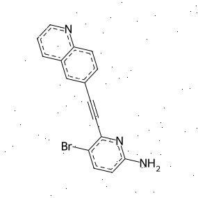 Nc1ccc(Br)c(C#Cc2ccc3ncccc3c2)n1